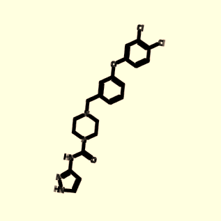 O=C(Nc1cc[nH]n1)N1CCN(Cc2cccc(Oc3ccc(Cl)c(Cl)c3)c2)CC1